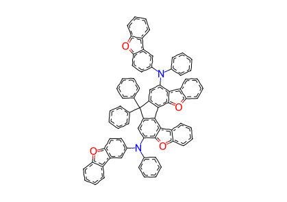 c1ccc(N(c2ccc3oc4ccccc4c3c2)c2cc3c(c4c2oc2ccccc24)-c2c(cc(N(c4ccccc4)c4ccc5oc6ccccc6c5c4)c4c2oc2ccccc24)C3(c2ccccc2)c2ccccc2)cc1